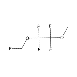 COC(F)(F)C(F)(F)OCF